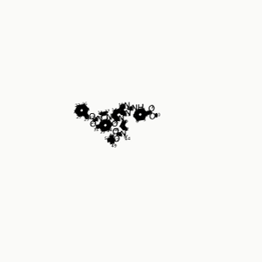 COC(=O)c1cccc(Nc2ncc3cc(N4CCN(C(=O)OCc5ccccc5)c5c(C)cccc54)c(=O)n(CCCN(C)C(=O)OC(C)(C)C)c3n2)c1